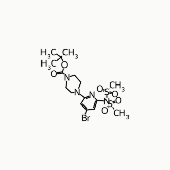 CC(C)(C)OC(=O)N1CCN(c2cc(Br)cc(N(S(C)(=O)=O)S(C)(=O)=O)n2)CC1